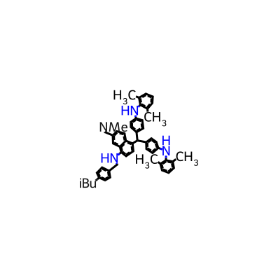 CCC(C)c1ccc(CNc2ccc(C(c3ccc(Nc4c(C)cccc4C)cc3)c3ccc(Nc4c(C)cccc4C)cc3)c3ccc(CNC)cc23)cc1